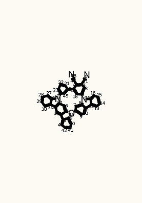 N#Cc1cc(-n2c3ccccc3c3ccccc32)cc(-c2cccc(-n3c4ccccc4c4cc5c(cc43)oc3ccccc35)c2)c1C#N